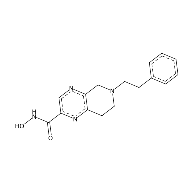 O=C(NO)c1cnc2c(n1)CCN(CCc1ccccc1)C2